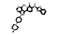 CN1CCN([C@H]2CC[C@H](n3nc(-c4ccc(Nc5nc6ccccc6o5)c(F)c4)c4c(N)ncnc43)CC2)CC1